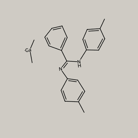 Cc1ccc(N=C(Nc2ccc(C)cc2)c2ccccc2)cc1.[CH3][Ga][CH3]